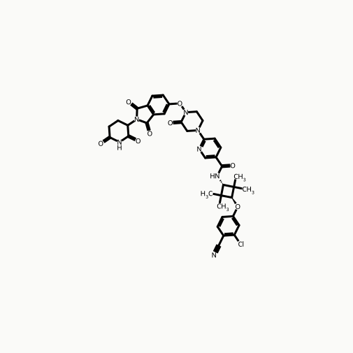 CC1(C)[C@H](NC(=O)c2ccc(N3CCN(Oc4ccc5c(c4)C(=O)N(C4CCC(=O)NC4=O)C5=O)C(=O)C3)nc2)C(C)(C)[C@H]1Oc1ccc(C#N)c(Cl)c1